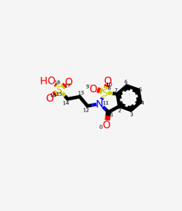 O=C1c2ccccc2S(=O)(=O)N1CCCS(=O)(=O)O